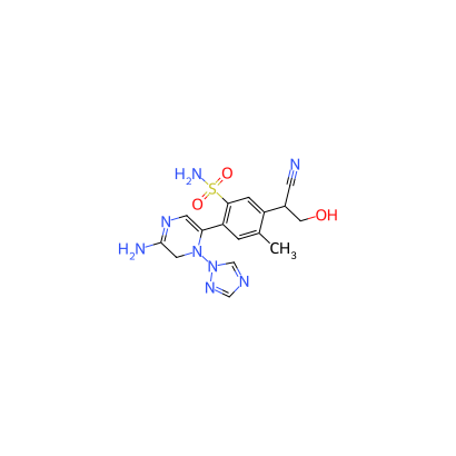 Cc1cc(C2=CN=C(N)CN2n2cncn2)c(S(N)(=O)=O)cc1C(C#N)CO